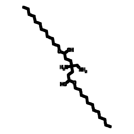 CCCCCCCCCCCCOC(O)CCC(N)(CN)CCC(O)OCCCCCCCCCCCC